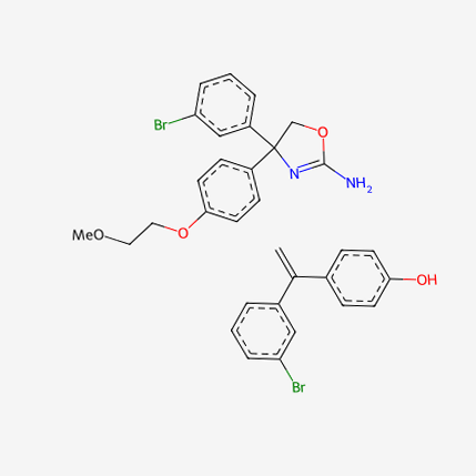 C=C(c1ccc(O)cc1)c1cccc(Br)c1.COCCOc1ccc(C2(c3cccc(Br)c3)COC(N)=N2)cc1